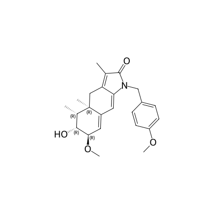 COc1ccc(CN2C(=O)C(C)=C3C[C@@]4(C)C(=C[C@@H](OC)[C@H](O)[C@@H]4C)C=C32)cc1